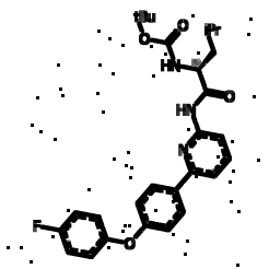 CC(C)C[C@H](NC(=O)OC(C)(C)C)C(=O)Nc1cccc(-c2ccc(Oc3ccc(F)cc3)cc2)n1